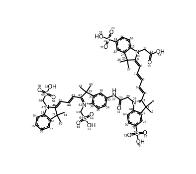 CC1(C)C(/C=C/C=C/C=C2/N(CC(=O)O)c3ccc(S(=O)(=O)O)cc3C2(C)C)=[N+](CC(=O)Nc2ccc3c(c2)C(C)(C)C(/C=C/C=C2/N(CS(=O)(=O)O)c4ccccc4C2(C)C)=[N+]3CS(=O)(=O)O)c2ccc(S(=O)(=O)O)cc21